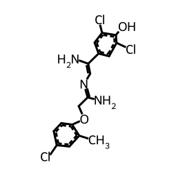 Cc1cc(Cl)ccc1OC/C(N)=N/C=C(\N)c1cc(Cl)c(O)c(Cl)c1